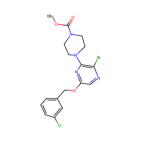 CC(C)(C)OC(=O)N1CCN(c2nc(OCc3cccc(Cl)c3)cnc2Br)CC1